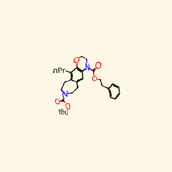 CCCc1c2c(cc3c1OCCN3C(=O)OCCc1ccccc1)CCN(C(=O)OC(C)(C)C)CC2